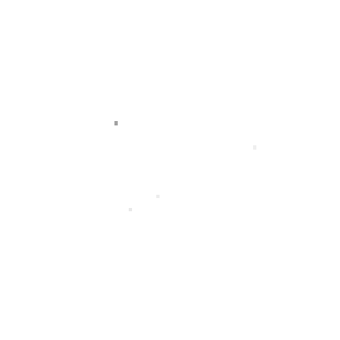 CCCCCCCCCc1ccc(C(SCc2cc(=O)c(O)co2)C(O)CCCC(=O)O)cc1.[NaH].[NaH]